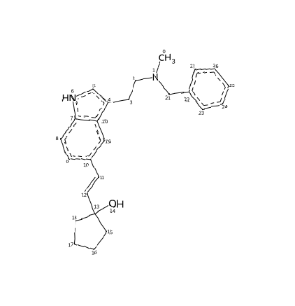 CN(CCc1c[nH]c2ccc(/C=C/C3(O)CCCC3)cc12)Cc1ccccc1